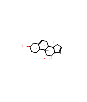 CC(=O)C1=CC[C@H]2[C@@H]3CC=C4CC(O)CC[C@]4(C)[C@H]3CC[C@]12C.O=S(=O)(O)O